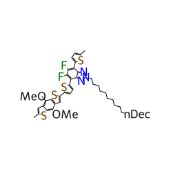 CCCCCCCCCCCCCCCCCCCCn1nc2c(-c3ccc(C)s3)c(F)c(F)c(-c3ccc(-c4cc5c(OC)c6sc(C)cc6c(OC)c5s4)s3)c2n1